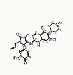 C=CCn1c(=O)c(C)c(/N=C(\N=C)Nc2cc(Cl)c(N3CCN(C)CC3)c(Cl)c2)n1-c1ccc(=O)n(C(C)C)n1